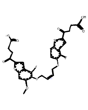 COc1cc2sc(C(=O)CCC(=O)O)cc2c(F)c1OC/C=C\COc1ccc2sc(C(=O)CCC(=O)O)cc2c1F